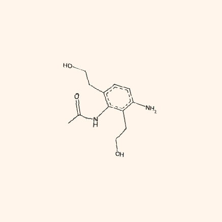 CC(=O)Nc1c(CCO)ccc(N)c1CCO